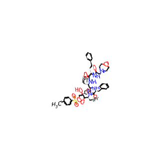 Cc1ccc(S(=O)(=O)OC[C@@](C)(O)C(=O)[C@H](CC(C)C)NC(=O)[C@H](Cc2ccccc2)NC(=O)[C@H](CC(C)C)NC(=O)[C@H](CCc2ccccc2)NC(=O)CN2CCOCC2)cc1